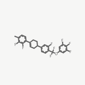 Cc1ccc(C2=CCC(c3ccc(C(F)(F)Oc4cc(F)c(F)c(F)c4)c(F)c3)CC2)c(F)c1F